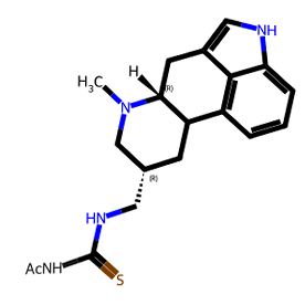 CC(=O)NC(=S)NC[C@H]1CC2c3cccc4[nH]cc(c34)C[C@H]2N(C)C1